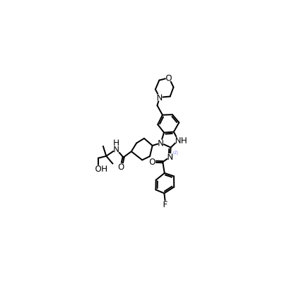 CC(C)(CO)NC(=O)C1CCC(n2/c(=N\C(=O)c3ccc(F)cc3)[nH]c3ccc(CN4CCOCC4)cc32)CC1